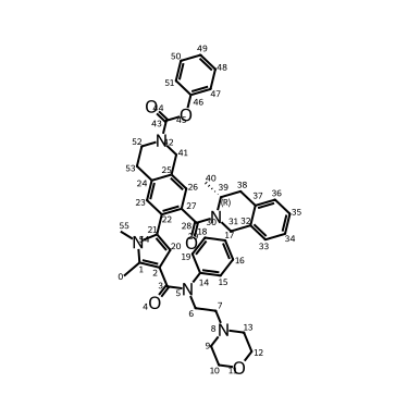 Cc1c(C(=O)N(CCN2CCOCC2)c2ccccc2)cc(-c2cc3c(cc2C(=O)N2Cc4ccccc4C[C@H]2C)CN(C(=O)Oc2ccccc2)CC3)n1C